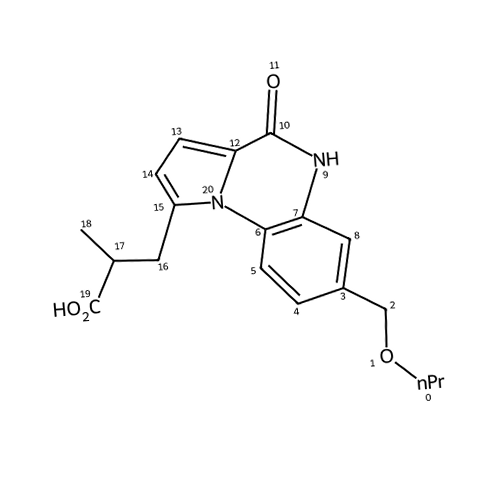 CCCOCc1ccc2c(c1)[nH]c(=O)c1ccc(CC(C)C(=O)O)n12